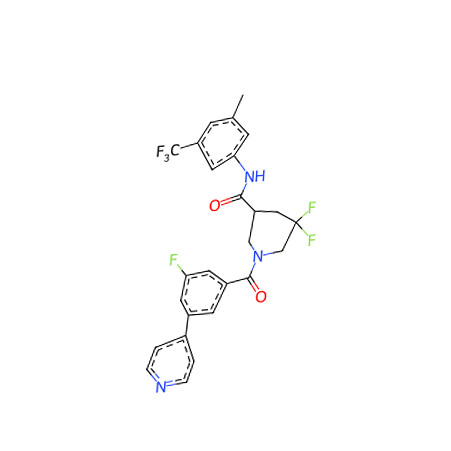 Cc1cc(NC(=O)C2CN(C(=O)c3cc(F)cc(-c4ccncc4)c3)CC(F)(F)C2)cc(C(F)(F)F)c1